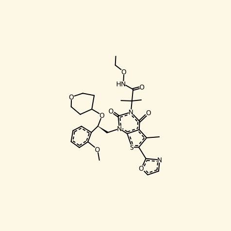 CCONC(=O)C(C)(C)n1c(=O)c2c(C)c(-c3ncco3)sc2n(C[C@H](OC2CCOCC2)c2ccccc2OC)c1=O